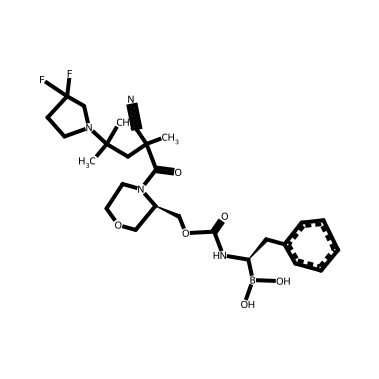 CC(C#N)(CC(C)(C)N1CCC(F)(F)C1)C(=O)N1CCOC[C@@H]1COC(=O)N[C@@H](Cc1ccccc1)B(O)O